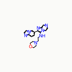 c1cn2c(NCCN3CCOCC3)c(-c3ccc4nccn4c3)nc2cn1